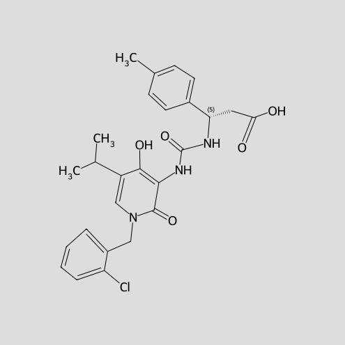 Cc1ccc([C@H](CC(=O)O)NC(=O)Nc2c(O)c(C(C)C)cn(Cc3ccccc3Cl)c2=O)cc1